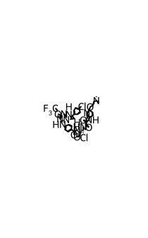 CN(C)CCOc1ccc(NC(=O)C(=O)NC[C@H](NC(=O)c2ccc(Nc3nc(NC4(c5ccc(Cl)cc5)CC4)nc(OCC(F)(F)F)n3)cc2)C(=O)Cl)cn1